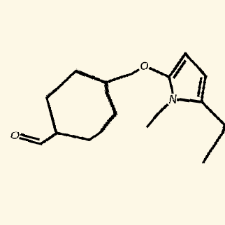 CCc1ccc(OC2CCC(C=O)CC2)n1C